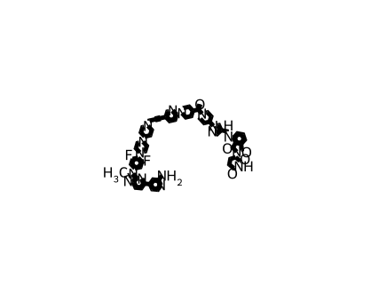 Cc1nc2ccc(-c3ccnc(N)c3)nc2n1-c1cc(F)c(N2CCN(C3CCN(CC#Cc4ccc(N5CCC(C(=O)N6CCC(n7cc(CNc8cccc9c8C(=O)N(C8CCC(=O)NC8=O)C9=O)cn7)CC6)CC5)nc4)CC3)CC2)c(F)c1